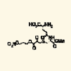 COC(=O)[C@H](CSCC(=O)C(=O)OCCCO[N+](=O)[O-])NC(=O)CC[C@H](N)C(=O)O